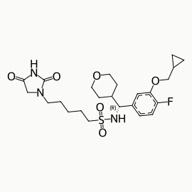 O=C1CN(CCCCCS(=O)(=O)N[C@@H](c2ccc(F)c(OCC3CC3)c2)C2CCOCC2)C(=O)N1